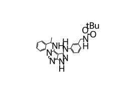 CC(Nc1ncnc2[nH]nc(Nc3cccc(CNC(=O)OC(C)(C)C)c3)c12)c1ccccc1